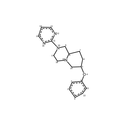 c1ccc(OC2CCC3CN(c4ncccn4)CCN3C2)cc1